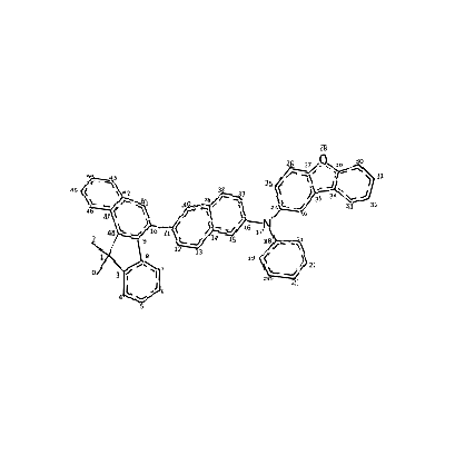 CC1(C)c2ccccc2-c2c(-c3ccc4cc(N(c5ccccc5)c5ccc6oc7ccccc7c6c5)ccc4c3)cc3ccccc3c21